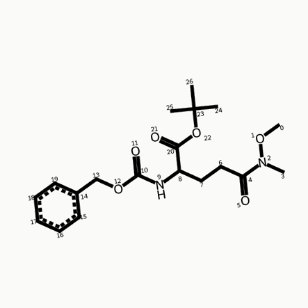 CON(C)C(=O)CCC(NC(=O)OCc1ccccc1)C(=O)OC(C)(C)C